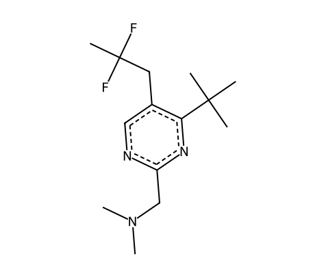 CN(C)Cc1ncc(CC(C)(F)F)c(C(C)(C)C)n1